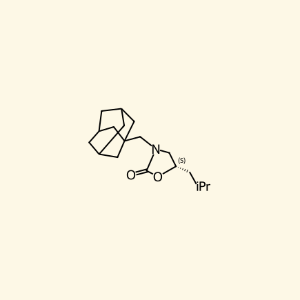 CC(C)C[C@H]1CN(CC23CC4CC(CC(C4)C2)C3)C(=O)O1